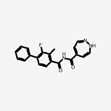 Cc1c(C(=O)NC(=O)C2=CC=NNC=C2)ccc(-c2ccccc2)c1F